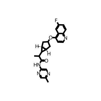 Cc1cnc(NC(=O)C(C)C2[C@H]3CC(Oc4ccnc5ccc(F)cc45)C[C@@H]23)cn1